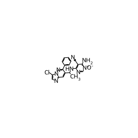 CC(Nc1nc[n+]([O-])c(N)c1C#N)c1cc2ncc(Cl)n2nc1-c1ccccc1